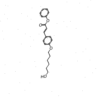 O=C(C=Cc1ccc(OCCCCCCO)cc1)Oc1ccccc1